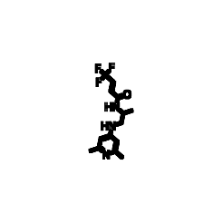 Cc1cc(NCC(C)NC(=O)/C=C/C(F)(F)F)cc(C)n1